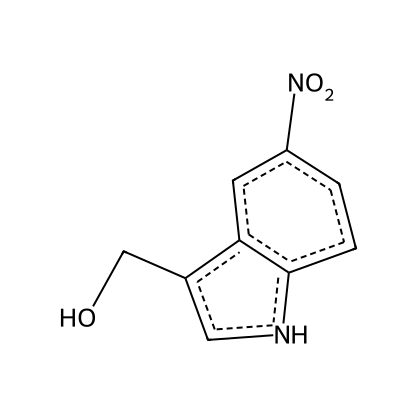 O=[N+]([O-])c1ccc2[nH]cc(CO)c2c1